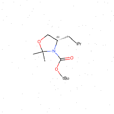 CC(C)C[C@H]1COC(C)(C)N1C(=O)OC(C)(C)C